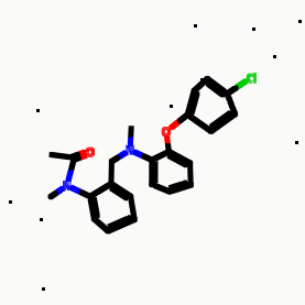 CC(=O)N(C)c1ccccc1CN(C)c1ccccc1Oc1ccc(Cl)cc1